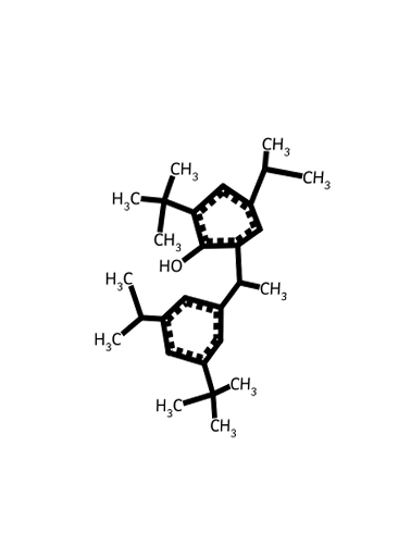 CC(C)c1cc(C(C)c2cc(C(C)C)cc(C(C)(C)C)c2O)cc(C(C)(C)C)c1